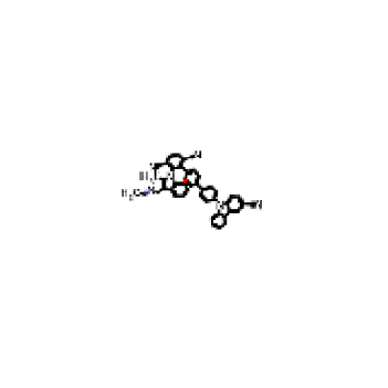 C/C=N/Cc1c(C)n(-c2c(C#N)ccc(C#N)c2-c2ccc(-c3ccc(-n4c5ccccc5c5cc(C#N)ccc54)cc3)cc2)c2ccccc12